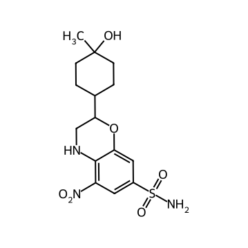 CC1(O)CCC(C2CNc3c(cc(S(N)(=O)=O)cc3[N+](=O)[O-])O2)CC1